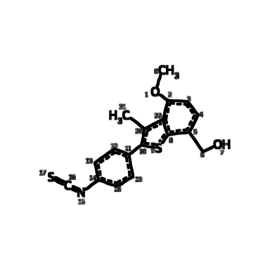 COc1ccc(CO)c2sc(-c3ccc(N=C=S)cc3)c(C)c12